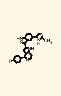 Cc1ncc(-c2ccc3[nH]nc(-c4cc5c(-c6ccc(F)cc6)nccc5[nH]4)c3c2)[nH]1